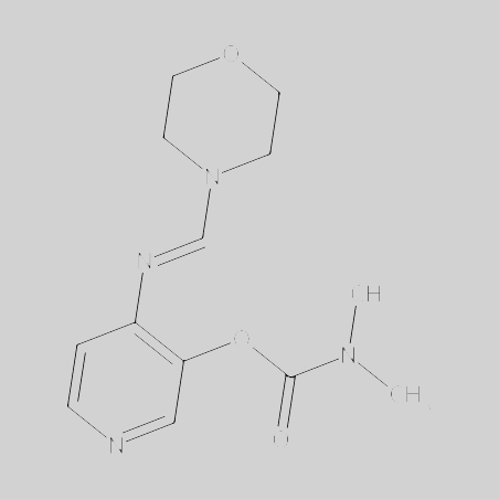 CN(C)C(=O)Oc1cnccc1/N=C/N1CCOCC1